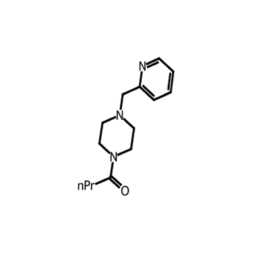 CCCC(=O)N1CCN(Cc2ccccn2)CC1